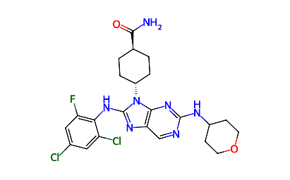 NC(=O)[C@H]1CC[C@H](n2c(Nc3c(F)cc(Cl)cc3Cl)nc3cnc(NC4CCOCC4)nc32)CC1